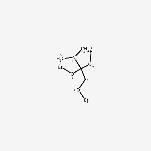 CCOCC(OCC)(OCC)N(C)C